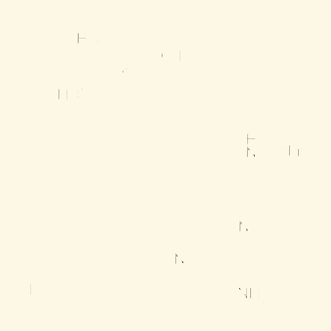 CCCNc1nc(N)nc(-c2cccc(F)c2)c1C#C[Si](C)(C)C